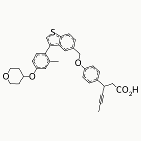 CC#CC(CC(=O)O)c1ccc(OCc2ccc3scc(-c4ccc(OC5CCOCC5)cc4C)c3c2)cc1